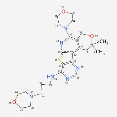 CC1(C)Cc2c(c(N3CCOCC3)nc3sc4c(NCCCN5CCOCC5)ncnc4c23)CO1